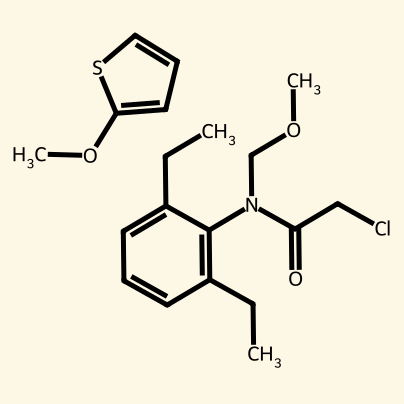 CCc1cccc(CC)c1N(COC)C(=O)CCl.COc1cccs1